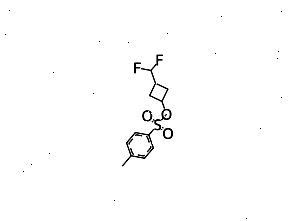 Cc1ccc(S(=O)(=O)OC2CC(C(F)F)C2)cc1